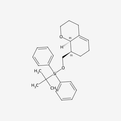 CC(C)(C)[Si](OC[C@@H]1CCC=C2CCCO[C@@H]21)(c1ccccc1)c1ccccc1